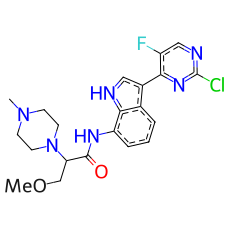 COCC(C(=O)Nc1cccc2c(-c3nc(Cl)ncc3F)c[nH]c12)N1CCN(C)CC1